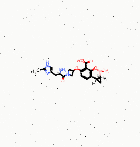 Cc1nc(C[C@@H](N)C(=O)N2CC(Oc3ccc4c(c3C(=O)O)OB(O)[C@H]3C[C@@H]43)C2)c[nH]1